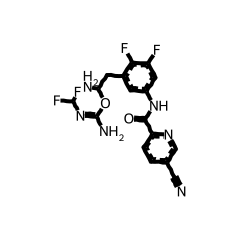 N#Cc1ccc(C(=O)Nc2cc(F)c(F)c(CC(N)O/C(N)=N\C(F)F)c2)nc1